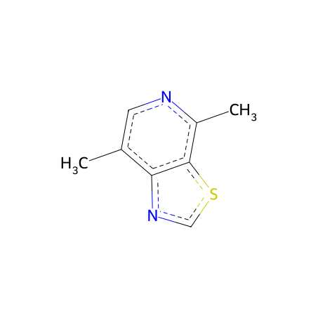 Cc1cnc(C)c2scnc12